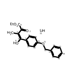 CCOC(=O)C(=O)C(C)=C(O)c1ccc(OCc2ccccc2)cc1.[LiH]